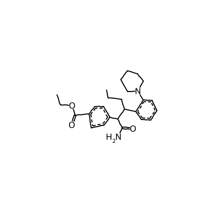 CCCC(c1ccccc1N1CCCCC1)C(C(N)=O)c1ccc(C(=O)OCC)cc1